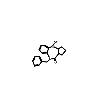 CC(=O)N1c2ccccc2N(Cc2ccccc2)C(=O)C2CCCC21